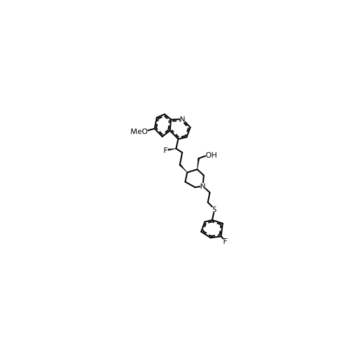 COc1ccc2nccc([C@H](F)CC[C@@H]3CCN(CCSc4cccc(F)c4)C[C@@H]3CO)c2c1